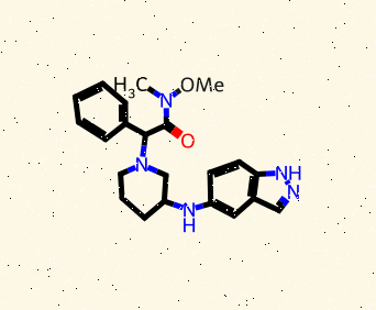 CON(C)C(=O)C(c1ccccc1)N1CCCC(Nc2ccc3[nH]ncc3c2)C1